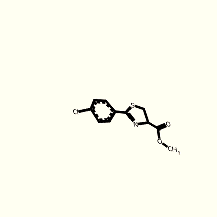 COC(=O)C1CSC(c2ccc(Cl)cc2)=N1